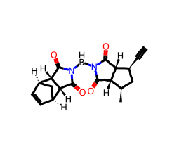 C#C[C@H]1C[C@@H](C)[C@@H]2C(=O)N(BN3C(=O)[C@@H]4[C@H](C3=O)[C@H]3C=C[C@@H]4C3)C(=O)[C@@H]21